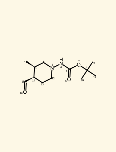 C[C@H]1CN(NC(=O)OC(C)(C)C)CC[C@H]1C=O